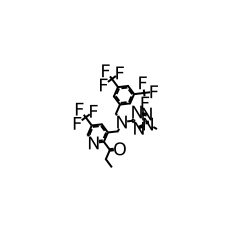 CCC(=O)c1ncc(C(F)(F)F)cc1CN(Cc1cc(C(F)(F)F)cc(C(F)(F)F)c1)c1nnn(C)n1